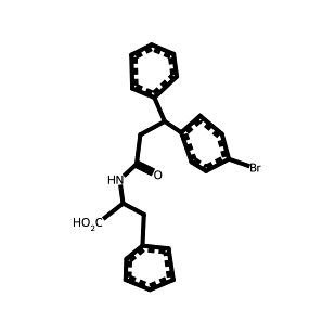 O=C(CC(c1ccccc1)c1ccc(Br)cc1)NC(Cc1ccccc1)C(=O)O